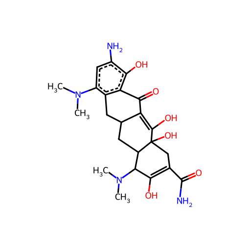 CN(C)c1cc(N)c(O)c2c1CC1CC3C(N(C)C)C(O)=C(C(N)=O)CC3(O)C(O)=C1C2=O